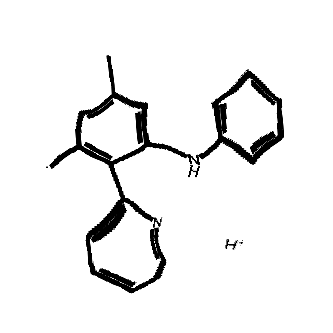 [CH2]c1cc(C)cc(Nc2ccccc2)c1-c1ccccn1.[H+]